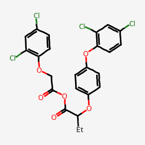 CCC(Oc1ccc(Oc2ccc(Cl)cc2Cl)cc1)C(=O)OC(=O)COc1ccc(Cl)cc1Cl